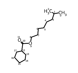 CC(C)CCCCCCOC(=O)C1CCCCC1